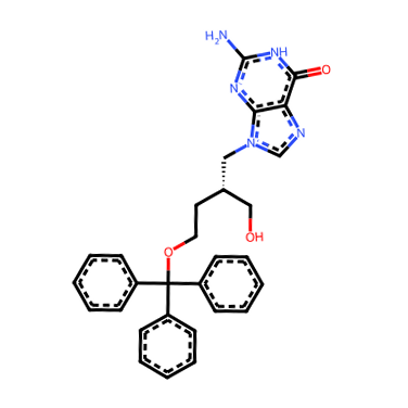 Nc1nc2c(ncn2C[C@H](CO)CCOC(c2ccccc2)(c2ccccc2)c2ccccc2)c(=O)[nH]1